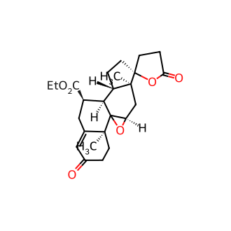 CCOC(=O)[C@@H]1CC2=CC(=O)CC[C@]2(C)C23O[C@@H]2C[C@@]2(C)[C@@H](CC[C@@]24CCC(=O)O4)[C@H]13